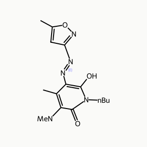 [CH2-][NH2+]c1c(C)c(/N=N/c2cc(C)on2)c(O)n(CCCC)c1=O